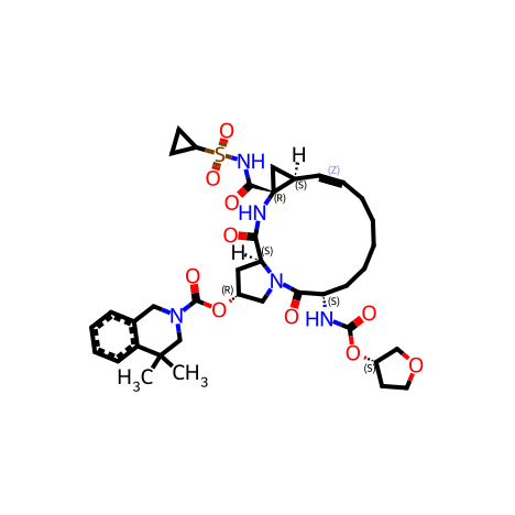 CC1(C)CN(C(=O)O[C@@H]2C[C@H]3C(=O)N[C@]4(C(=O)NS(=O)(=O)C5CC5)C[C@H]4/C=C\CCCCC[C@H](NC(=O)O[C@H]4CCOC4)C(=O)N3C2)Cc2ccccc21